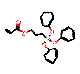 C=CC(=O)OCCC[Si](Oc1ccccc1)(Oc1ccccc1)Oc1ccccc1